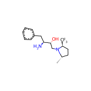 C[C@H]1CC[C@H](C(F)(F)F)N1C[C@@H](O)[C@@H](N)Cc1ccccc1